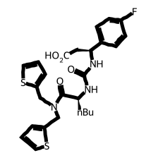 CCCC[C@H](NC(=O)N[C@@H](CC(=O)O)c1ccc(F)cc1)C(=O)N(Cc1cccs1)Cc1cccs1